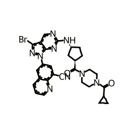 N#Cc1cc(-n2nc(Br)c3cnc(N[C@@H]4CC[C@@H](C(=O)N5CCN(C(=O)C6CC6)CC5)C4)nc32)cc2cccnc12